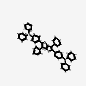 c1ccc(-c2c(-c3ccc(N(c4ccccc4)c4ccccc4)cc3)sc3c(-c4ccccc4)c(-c4ccc(N(c5ccccc5)c5ccccc5)cc4)sc23)cc1